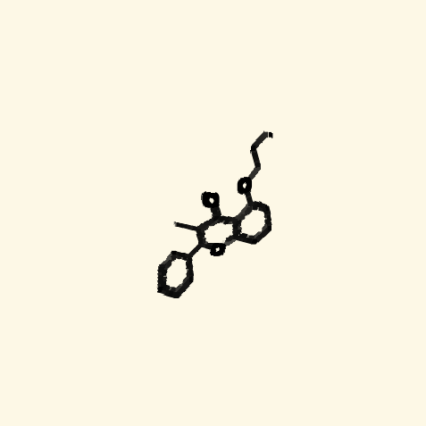 [CH2]CCOc1cccc2oc(-c3ccccc3)c(C)c(=O)c12